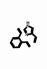 C=Cc1c[nH]cn1.C=Cc1ccccc1C=C